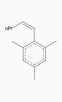 CCC/C=[C]\c1c(C)cc(C)cc1C